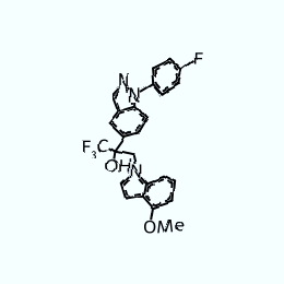 COc1cccc2c1ccn2CC(O)(c1ccc2c(cnn2-c2ccc(F)cc2)c1)C(F)(F)F